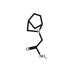 NC(=O)CN1CC2CCC1C2